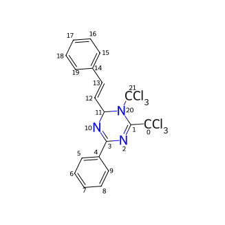 ClC(Cl)(Cl)C1=NC(c2ccccc2)=NC(C=Cc2ccccc2)N1C(Cl)(Cl)Cl